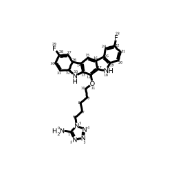 Nc1nnnn1CCCCCOc1c2c(cc3c1[nH]c1ccc(F)cc13)C1C=C(F)C=CC1N2